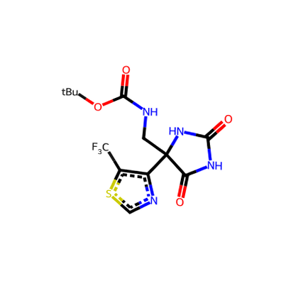 CC(C)(C)OC(=O)NCC1(c2ncsc2C(F)(F)F)NC(=O)NC1=O